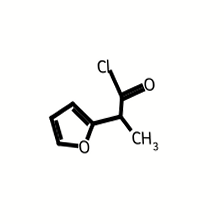 CC(C(=O)Cl)c1ccco1